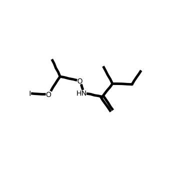 C=C(NOC(C)OI)C(C)CC